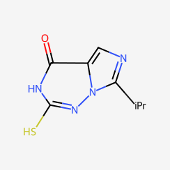 CC(C)c1ncc2c(=O)[nH]c(S)nn12